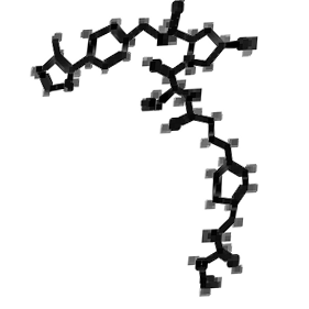 Cc1ncsc1-c1ccc(CNC(=O)C2C[C@@H](O)CN2C(=O)[C@@H](NC(=O)CCCc2ccc(CNC(=O)OC(C)(C)C)cc2)C(C)(C)C)cc1